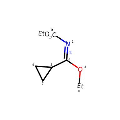 CCOC(=O)/N=C(/OCC)C1CC1